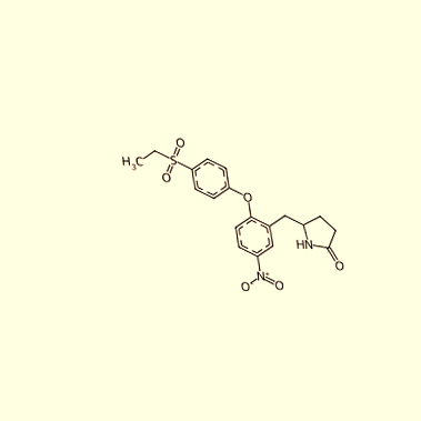 CCS(=O)(=O)c1ccc(Oc2ccc([N+](=O)[O-])cc2CC2CCC(=O)N2)cc1